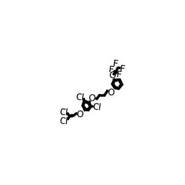 FC(F)C(F)(F)Oc1cccc(OCCCCOc2c(Cl)cc(OCC=C(Cl)Cl)cc2Cl)c1